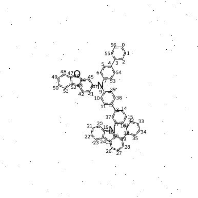 c1ccc(-c2ccc(N(c3ccc(-c4cccc(-n5c6ccccc6c6cccc(-c7ccccc7)c65)c4)cc3)c3ccc4c(c3)oc3ccccc34)cc2)cc1